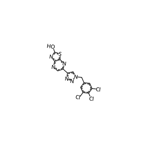 Oc1nc2ncc(-c3cn(Cc4cc(Cl)c(Cl)c(Cl)c4)nn3)nc2s1